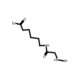 CCC(=O)CCCCCNC(=O)CNC(C)C